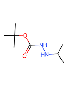 CC(C)NNC(=O)OC(C)(C)C